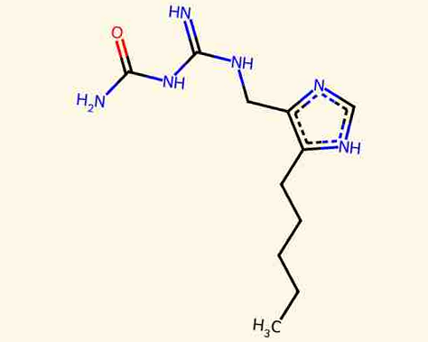 CCCCCc1[nH]cnc1CNC(=N)NC(N)=O